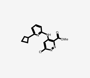 COC(=O)c1nnc(Cl)cc1Nc1cccc(C2CCC2)n1